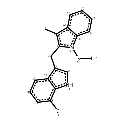 Cc1c(Cc2c[nH]c3c(Cl)cccc23)n(SI)c2ccccc12